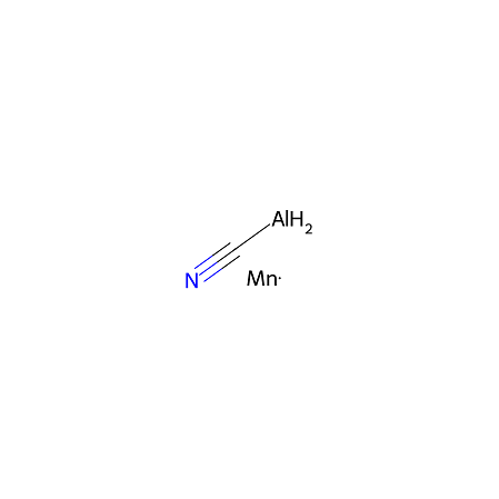 N#[C][AlH2].[Mn]